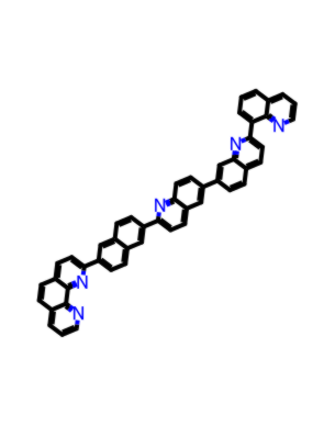 c1cnc2c(-c3ccc4ccc(-c5ccc6nc(-c7ccc8cc(-c9ccc%10ccc%11cccnc%11c%10n9)ccc8c7)ccc6c5)cc4n3)cccc2c1